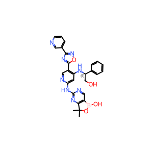 CC1(C)OB(O)c2cnc(Nc3cc(N[C@H](CO)c4ccccc4)c(-c4nc(-c5cccnc5)no4)cn3)nc21